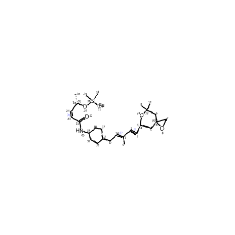 CC(/C=C/[C@@H]1C[C@]2(CO2)CC(C)(C)O1)=C\CC1CCC(NC(=O)/C=C\[C@H](C)O[Si](C)(C)C(C)(C)C)CC1